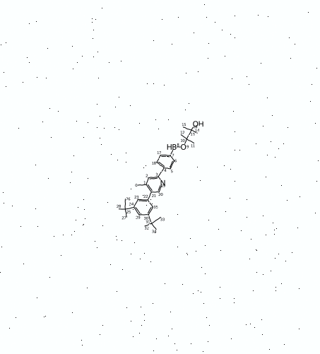 Cc1cc(-c2ccc(BOC(C)(C)C(C)(C)O)cc2)ncc1-c1cc(C(C)(C)C)cc(C(C)(C)C)c1